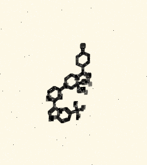 CC1(C)CN(c2ccnc(-c3cnc4ccc(C(F)(F)F)cn34)n2)CCN1C(=O)C1CCC(=O)CC1